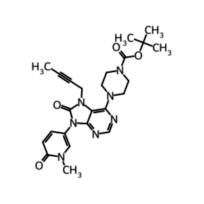 CC#CCn1c(=O)n(-c2ccc(=O)n(C)c2)c2ncnc(N3CCN(C(=O)OC(C)(C)C)CC3)c21